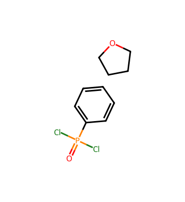 C1CCOC1.O=P(Cl)(Cl)c1ccccc1